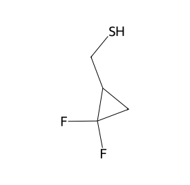 FC1(F)CC1CS